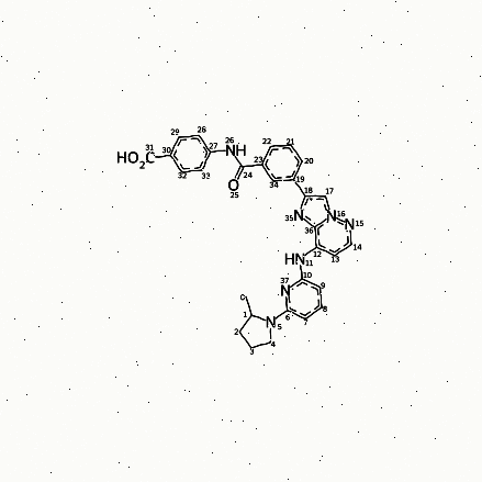 CC1CCCN1c1cccc(Nc2ccnn3cc(-c4cccc(C(=O)Nc5ccc(C(=O)O)cc5)c4)nc23)n1